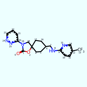 O=C1OC2(CCC(CNc3ccc(C(F)(F)F)cn3)CC2)CN1c1cccnn1